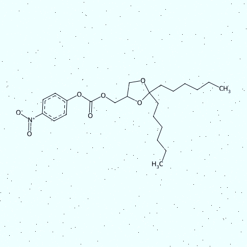 CCCCCCC1(CCCCCC)OCC(COC(=O)Oc2ccc([N+](=O)[O-])cc2)O1